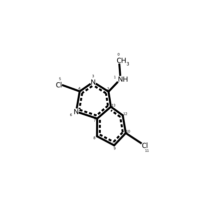 CNc1nc(Cl)nc2ccc(Cl)cc12